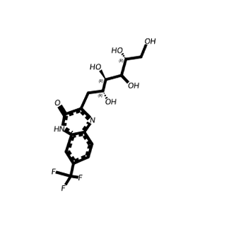 O=c1[nH]c2cc(C(F)(F)F)ccc2nc1C[C@@H](O)[C@@H](O)C(O)[C@H](O)CO